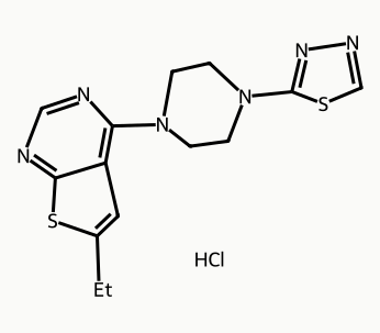 CCc1cc2c(N3CCN(c4nncs4)CC3)ncnc2s1.Cl